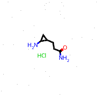 Cl.NC(=O)CCC1CC1N